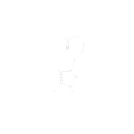 Cn1nc(-c2cccnc2)nc1O